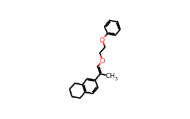 CC(=COCCOc1ccccc1)c1ccc2c(c1)CCCC2